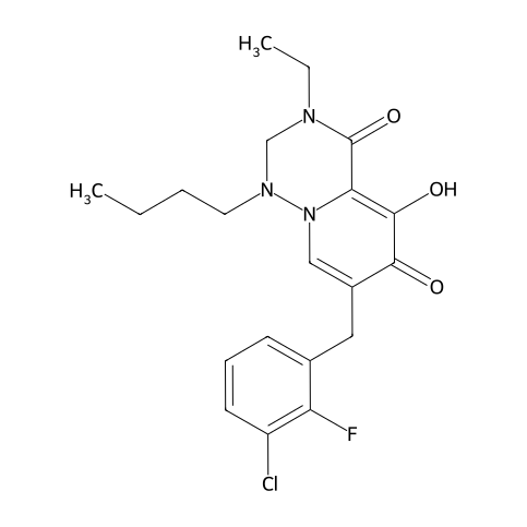 CCCCN1CN(CC)C(=O)c2c(O)c(=O)c(Cc3cccc(Cl)c3F)cn21